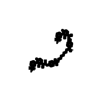 Cc1ccc(C(=O)NCc2ccc([S+]([O-])CCCCCCCCS(=O)(=O)c3ccc(CNC(=O)c4ccc(C)n(-c5cccc(C(F)(F)F)c5)c4=O)cc3)cc2)c(=O)n1-c1cccc(C(F)(F)F)c1